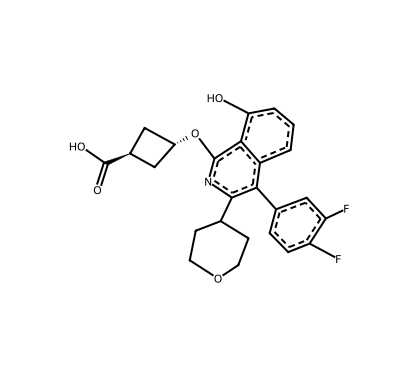 O=C(O)[C@H]1C[C@H](Oc2nc(C3CCOCC3)c(-c3ccc(F)c(F)c3)c3cccc(O)c23)C1